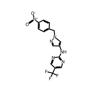 O=[N+]([O-])c1ccc(Cn2cc(Nc3ncc(C(F)(F)F)cn3)cn2)cc1